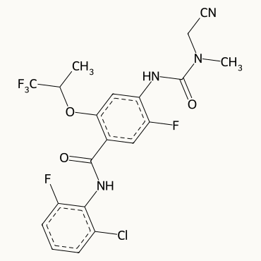 CC(Oc1cc(NC(=O)N(C)CC#N)c(F)cc1C(=O)Nc1c(F)cccc1Cl)C(F)(F)F